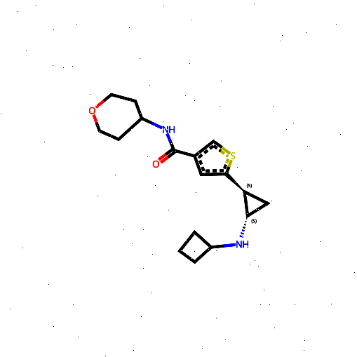 O=C(NC1CCOCC1)c1csc([C@H]2C[C@@H]2NC2CCC2)c1